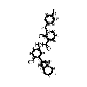 O=C(Nc1ccc(Cl)c(-c2nc3ccccc3[nH]2)c1)c1cccn(Cc2ccc(F)cc2)c1=O